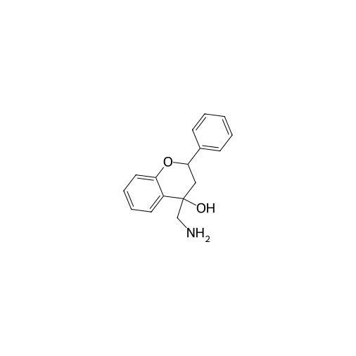 NCC1(O)CC(c2ccccc2)Oc2ccccc21